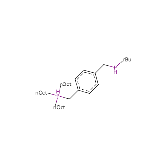 CCCCCCCC[PH](CCCCCCCC)(CCCCCCCC)Cc1ccc(CPCCCC)cc1